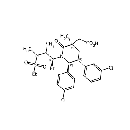 CC[C@@H](C(C)N(C)S(=O)(=O)CC)N1C(=O)[C@@](C)(CC(=O)O)C[C@H](c2cccc(Cl)c2)[C@H]1c1ccc(Cl)cc1